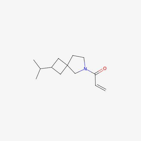 C=CC(=O)N1CCC2(CC(C(C)C)C2)C1